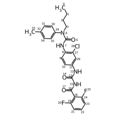 CCCCN(C(=O)Nc1ccc(NC(=O)NC(=O)c2c(F)cccc2F)cc1Cl)c1ccc(C)cc1